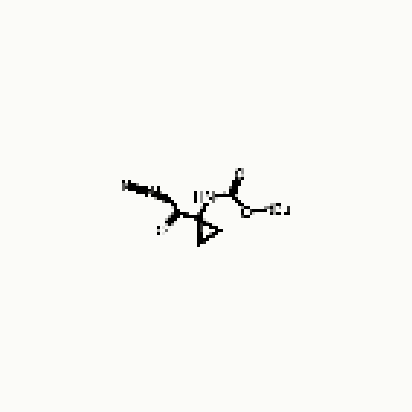 CC(C)(C)OC(=O)NC1(C(=O)C=[N+]=[N-])CC1